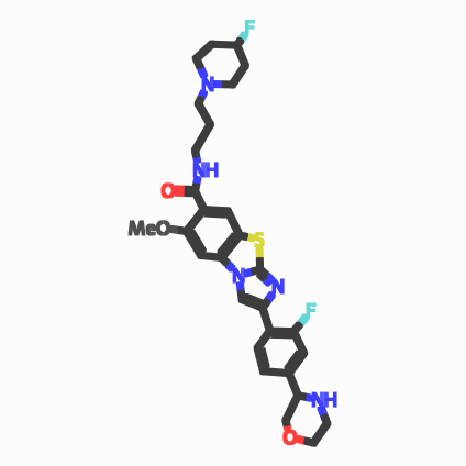 COc1cc2c(cc1C(=O)NCCCN1CCC(F)CC1)sc1nc(-c3ccc(C4COCCN4)cc3F)cn12